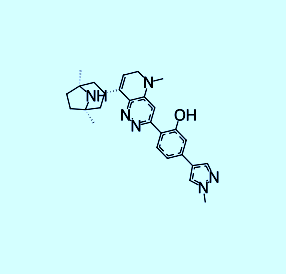 CN1CC=C([C@H]2C[C@]3(C)CC[C@](C)(C2)N3)c2nnc(-c3ccc(-c4cnn(C)c4)cc3O)cc21